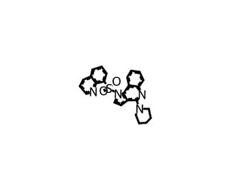 O=S(=O)(c1cccc2cccnc12)n1ccc2c(N3CCCCC3)nc3ccccc3c21